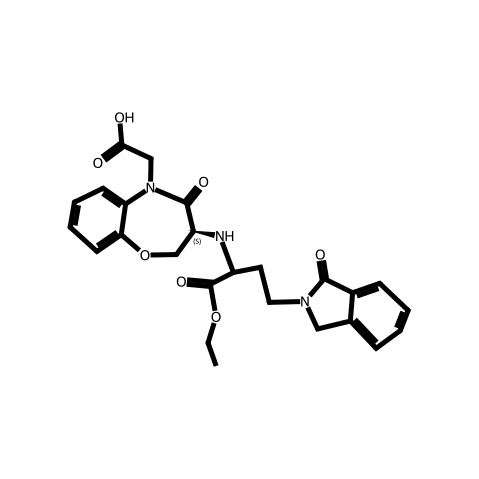 CCOC(=O)C(CCN1Cc2ccccc2C1=O)N[C@H]1COc2ccccc2N(CC(=O)O)C1=O